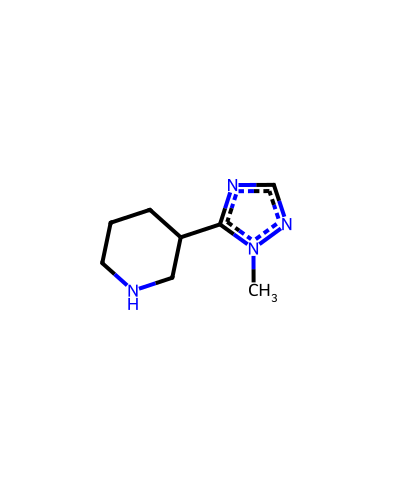 Cn1ncnc1C1CCCNC1